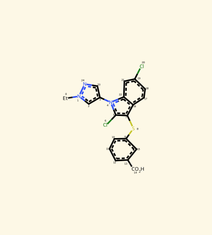 CCn1cc(-n2c(Cl)c(Sc3cccc(C(=O)O)c3)c3ccc(Cl)cc32)cn1